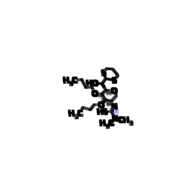 CCCCO[C@H]1[C@H](OCCCC)[C@@H](C(O)C2SCCCS2)OC[C@@H]1/N=C(\S)N(C)C